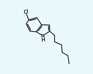 CCCCCCc1cc2cc(Cl)ccc2[nH]1